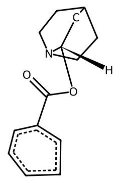 O=C(O[C@H]1CC2CCN1CC2)c1ccccc1